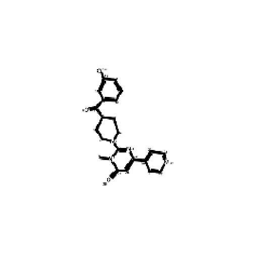 Cn1c(N2CCC(C(=O)c3cccc(Cl)c3)CC2)nc(-c2ccncc2)cc1=O